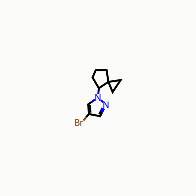 Brc1cnn(C2CCCC23CC3)c1